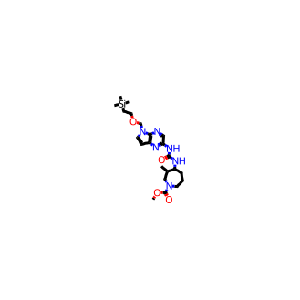 COC(=O)N1CCCC(NC(=O)Nc2cnc3c(ccn3COCC[Si](C)(C)C)n2)C(C)C1